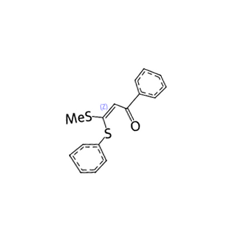 CS/C(=C/C(=O)c1ccccc1)Sc1ccccc1